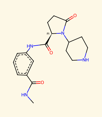 CNC(=O)c1cccc(NC(=O)[C@H]2CCC(=O)N2C2CCNCC2)c1